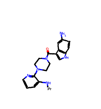 CC(C)Nc1cccnc1N1CCN(C(=O)c2c[nH]c3ccc(N)cc23)CC1